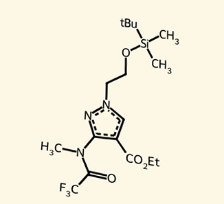 CCOC(=O)c1cn(CCO[Si](C)(C)C(C)(C)C)nc1N(C)C(=O)C(F)(F)F